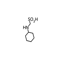 O=S(=O)(O)CNC1CCCCC1